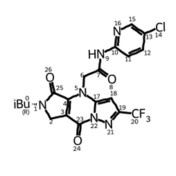 CC[C@@H](C)N1Cc2c(n(CC(=O)Nc3ccc(Cl)cn3)c3cc(C(F)(F)F)nn3c2=O)C1=O